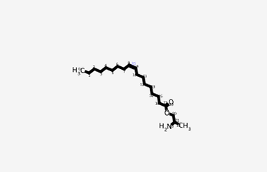 CCCCCCCC/C=C\CCCCCCCC(=O)OCC(C)N